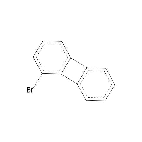 Brc1cccc2c1-c1ccccc1-2